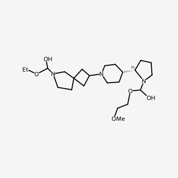 CCOC(O)N1CCC2(CC(N3CCC([C@@H]4CCCN4C(O)OCCOC)CC3)C2)C1